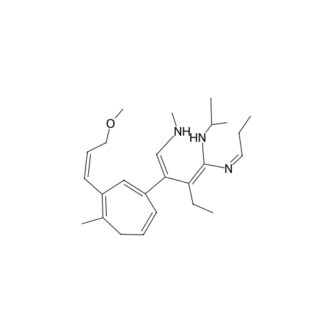 CC\C=N/C(NC(C)C)=C(CC)/C(=C\NC)C1=CC(/C=C\COC)=C(C)CC=C1